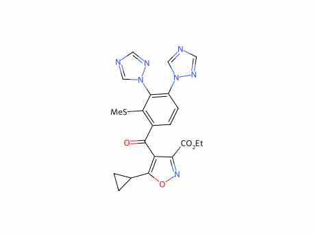 CCOC(=O)c1noc(C2CC2)c1C(=O)c1ccc(-n2cncn2)c(-n2cncn2)c1SC